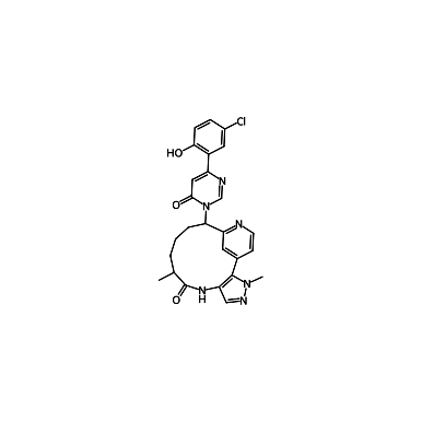 CC1CCCC(n2cnc(-c3cc(Cl)ccc3O)cc2=O)c2cc(ccn2)-c2c(cnn2C)NC1=O